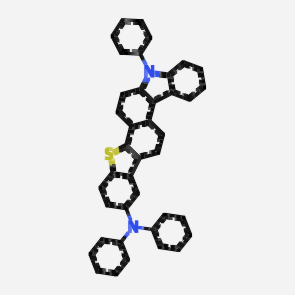 c1ccc(N(c2ccccc2)c2ccc3sc4c(ccc5c4ccc4c5c5ccccc5n4-c4ccccc4)c3c2)cc1